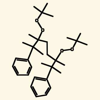 CC(C)(C)OOC(C)(CCC(C)(OOC(C)(C)C)C(C)(C)c1ccccc1)C(C)(C)c1ccccc1